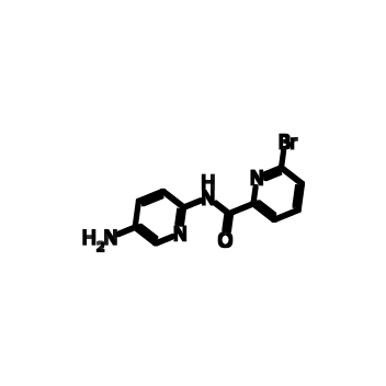 Nc1ccc(NC(=O)c2cccc(Br)n2)nc1